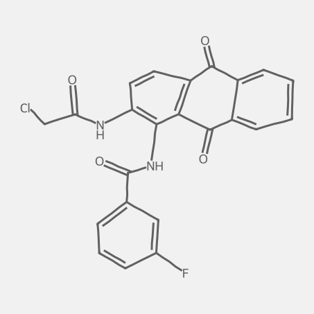 O=C(CCl)Nc1ccc2c(c1NC(=O)c1cccc(F)c1)C(=O)c1ccccc1C2=O